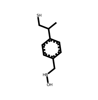 CC(CS)c1ccc(CBO)cc1